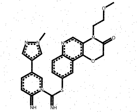 COCCN1C(=O)COc2c1cnc1ccc(SC(=N)n3cc(-c4cnn(C)c4)ccc3=N)cc21